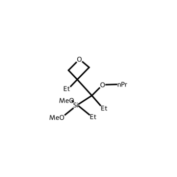 CCCOC(CC)(C1(CC)COC1)[Si](CC)(OC)OC